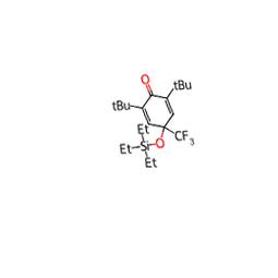 CC[Si](CC)(CC)OC1(C(F)(F)F)C=C(C(C)(C)C)C(=O)C(C(C)(C)C)=C1